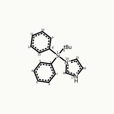 CC(C)(C)[Si](c1ccccc1)(c1ccccc1)[n+]1cc[nH]c1